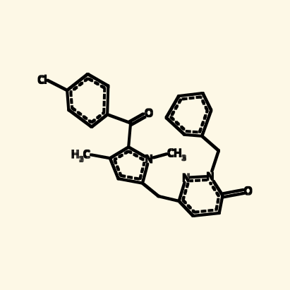 Cc1cc(Cc2ccc(=O)n(Cc3ccccc3)n2)n(C)c1C(=O)c1ccc(Cl)cc1